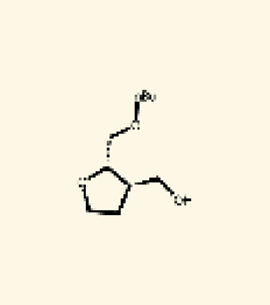 CCCCOC[C@H]1OCC[C@@H]1CO